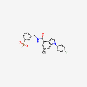 CS(=O)(=O)c1cccc(CNC(=O)c2cc(C#N)cc3c2ccn3-c2ccc(F)cc2)c1